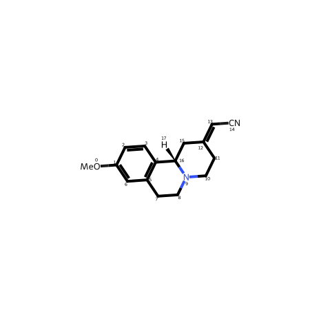 COc1ccc2c(c1)CCN1CCC(=CC#N)C[C@@H]21